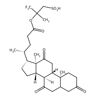 C[C@H](CCC(=O)OC(C)(CS(=O)(=O)O)C(F)(F)F)[C@H]1CC[C@H]2[C@@H]3C(=O)CC4CC(=O)CC[C@]4(C)[C@H]3CC(=O)[C@]12C